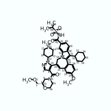 COC[C@@H]1CN(C(=O)c2cnn(C3CCN(C)CC3)c2C2=Cc3cc(OC)ccc3-c3c(C4CCCCC4)c4ccc(C(=O)NS(=O)(=O)C(C)C)cc4n3C2)CCO1